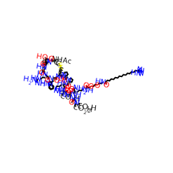 CC(=O)N[C@H]1CCSSCC[C@@H](C(=O)N2CCC[C@H]2C(=O)N2CCC[C@H]2C(=O)N[C@@H](CCCCN)C(=O)N[C@@H](CC(=O)O)C(=O)N[C@@H](CNC(=O)CN(CC(=O)O)CC(=O)O)C(=O)N[C@@H](CCCCNC(=O)COCCOCCNC(=O)CCCCCCCCCCCCCCCc2nnn[nH]2)C(N)=O)NC(=O)[C@H](Cc2c[nH]c3ccccc23)NC(=O)[C@H](CCCNC(=N)N)NC(=O)CNC(=O)[C@@H]2C[C@@H](O)CN2C1=O